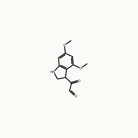 COc1cc2c(c(OC)c1)C(C(=O)C=O)CN2